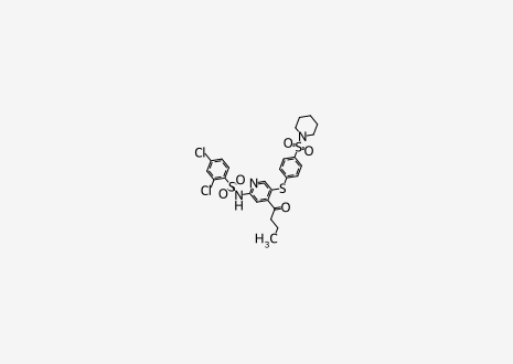 CCCC(=O)c1cc(NS(=O)(=O)c2ccc(Cl)cc2Cl)ncc1Sc1ccc(S(=O)(=O)N2CCCCC2)cc1